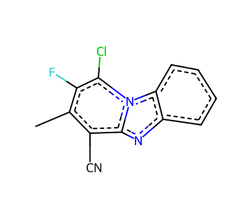 Cc1c(F)c(Cl)n2c(nc3ccccc32)c1C#N